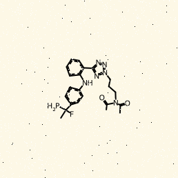 CC(=O)N(CCCn1nnc(-c2ccccc2Nc2ccc(C(C)(F)P)cc2)n1)C(C)=O